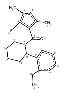 Cc1nn(C)c(F)c1C(=O)N1CCCCC1c1ccccc1CN